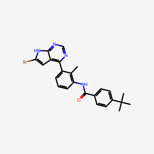 Cc1c(NC(=O)c2ccc(C(C)(C)C)cc2)cccc1-c1ncnc2[nH]c(Br)cc12